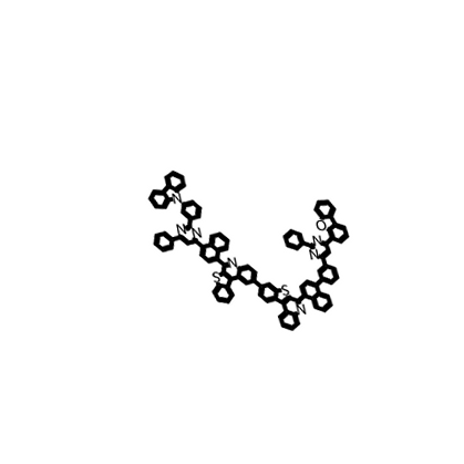 c1ccc(-c2cc(-c3ccc(-c4nc5ccc(-c6ccc7c(c6)sc6c(-c8ccc(-c9cccc(-c%10cc(-c%11cccc%12c%11oc%11ccccc%11%12)nc(-c%11ccccc%11)n%10)c9)c9ccccc89)nc8ccccc8c67)cc5c5c4sc4ccccc45)c4ccccc34)nc(-c3cccc(-n4c5ccccc5c5ccccc54)c3)n2)cc1